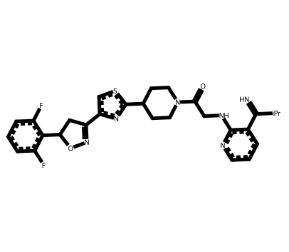 CC(C)C(=N)c1cccnc1NCC(=O)N1CCC(c2nc(C3=NOC(c4c(F)cccc4F)C3)cs2)CC1